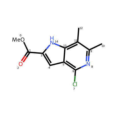 COC(=O)c1cc2c(Cl)nc(C)c(C)c2[nH]1